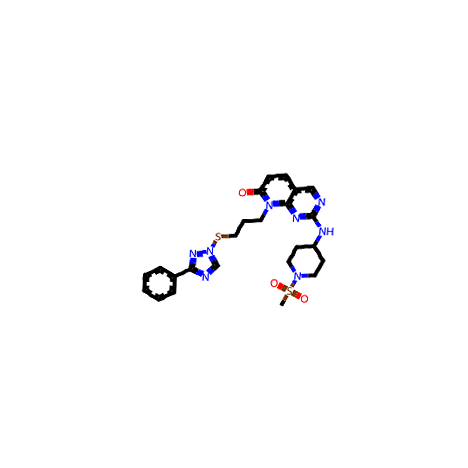 CS(=O)(=O)N1CCC(Nc2ncc3ccc(=O)n(CCCSn4cnc(-c5ccccc5)n4)c3n2)CC1